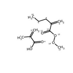 C=C(C)C(=O)O.C=C(CCC)C(=O)OOC